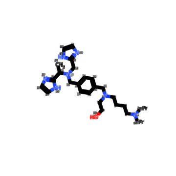 CCCN(CCC)CCCCN(CCO)Cc1ccc(CN(Cc2ncc[nH]2)C(C)c2ncc[nH]2)cc1